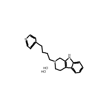 Cl.Cl.c1ccc2c3c([nH]c2c1)CN(CCCCc1ccncc1)CC3